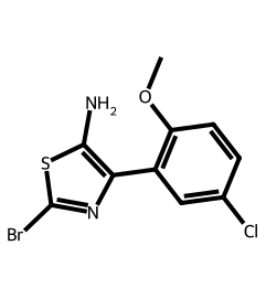 COc1ccc(Cl)cc1-c1nc(Br)sc1N